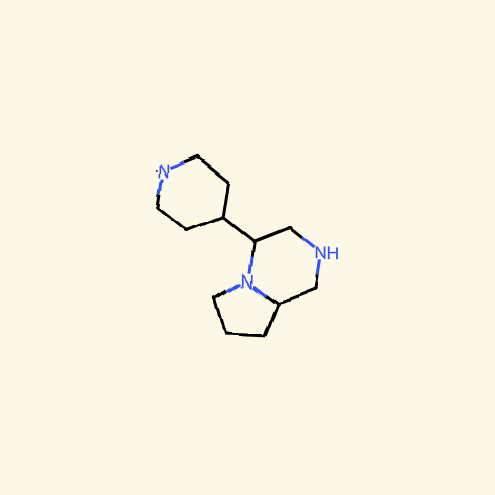 C1CC2CNCC(C3CC[N]CC3)N2C1